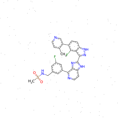 Cc1ccncc1-c1ccc2[nH]nc(-c3nc4c(-c5cc(F)cc(CNS(C)(=O)=O)c5)nccc4[nH]3)c2c1F